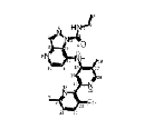 CCNC(=O)n1ncc2nccc(Nc3cc(-c4nc(C)ccc4F)ncc3C)c21